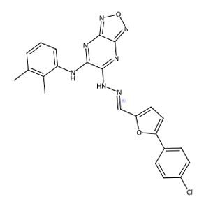 Cc1cccc(Nc2nc3nonc3nc2N/N=C/c2ccc(-c3ccc(Cl)cc3)o2)c1C